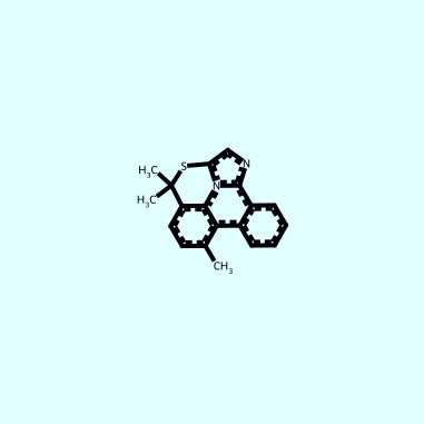 Cc1ccc2c3c1c1ccccc1c1ncc(n13)SC2(C)C